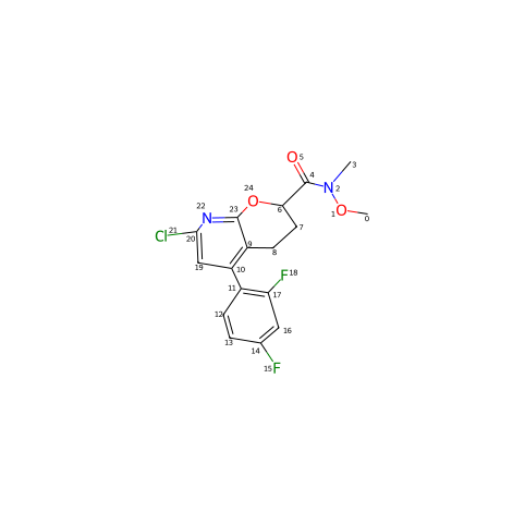 CON(C)C(=O)C1CCc2c(-c3ccc(F)cc3F)cc(Cl)nc2O1